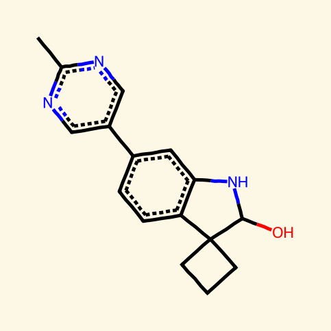 Cc1ncc(-c2ccc3c(c2)NC(O)C32CCC2)cn1